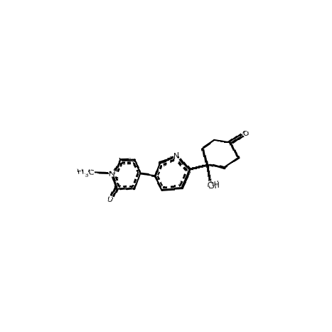 Cn1ccc(-c2ccc(C3(O)CCC(=O)CC3)nc2)cc1=O